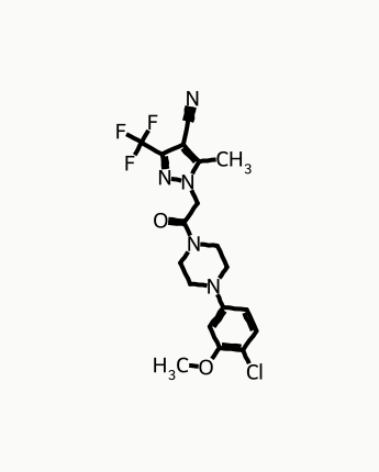 COc1cc(N2CCN(C(=O)Cn3nc(C(F)(F)F)c(C#N)c3C)CC2)ccc1Cl